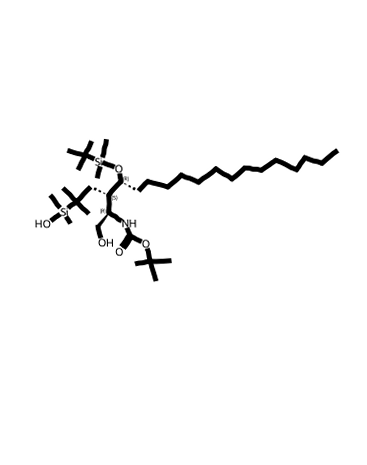 CCCCCCCCCCCCCC[C@@H](O[Si](C)(C)C(C)(C)C)[C@@H](CC(C)(C)[Si](C)(C)O)[C@H](CO)NC(=O)OC(C)(C)C